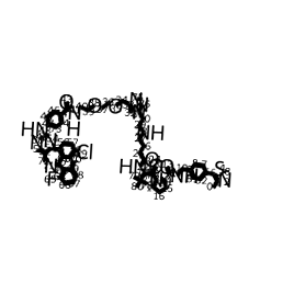 Cc1ncsc1-c1ccc(CNC(=O)[C@@H]2CCCN2C(=O)[C@@H](NC(=O)CCCNCCn2cc(COCCOCCNC(=O)c3ccc(Nc4ncc5c(n4)-c4ccc(Cl)cc4C(c4c(F)cccc4F)=NC5)cc3)nn2)C(C)(C)C)cc1